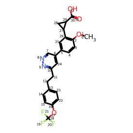 COc1ccc(-c2cnnc(CCc3ccc(OC(F)(F)F)cc3)c2)cc1C1CC1C(=O)O